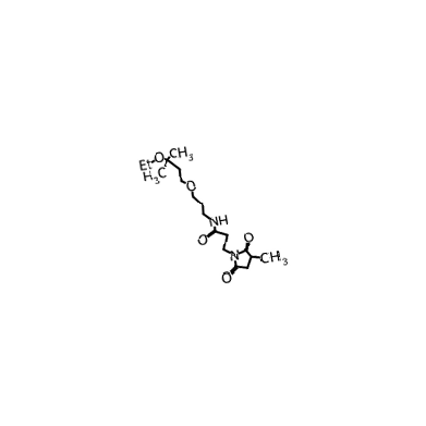 CCOC(C)(C)CCOCCCNC(=O)CCN1C(=O)CC(C)C1=O